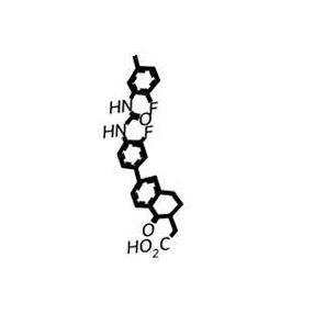 Cc1ccc(F)c(NC(=O)Nc2ccc(-c3ccc4c(c3)CCC(CC(=O)O)C4=O)cc2F)c1